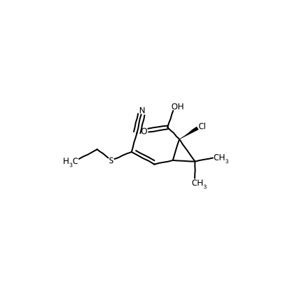 CCS/C(C#N)=C/C1C(C)(C)[C@@]1(Cl)C(=O)O